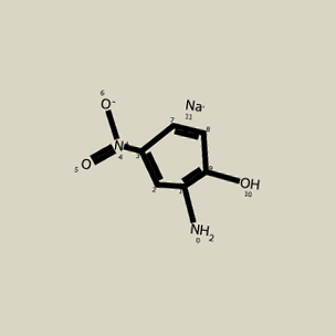 Nc1cc([N+](=O)[O-])ccc1O.[Na]